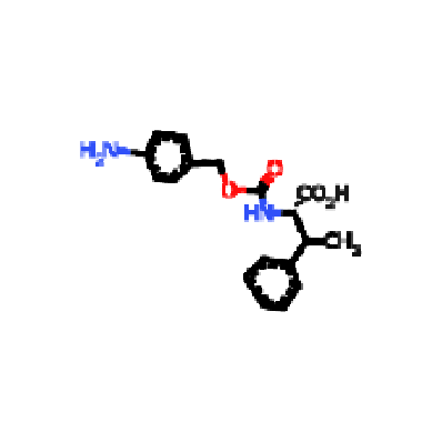 CC(c1ccccc1)[C@H](NC(=O)OCc1ccc(N)cc1)C(=O)O